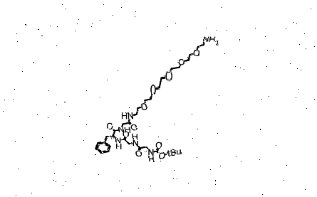 CC(C)(C)OC(=O)NCC(=O)NCC(=O)N[C@@H](Cc1ccccc1)C(=O)NCC(=O)NCCOCCOCCOCCOCCOCCN